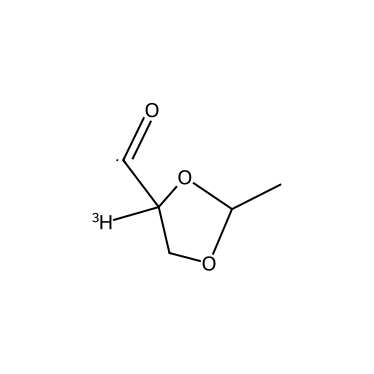 [3H]C1([C]=O)COC(C)O1